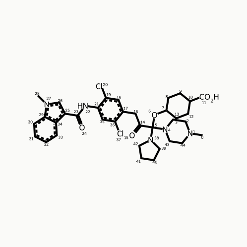 CN1CCN(C(OC2CCC(C(=O)O)CC2)(C(=O)Cc2cc(Cl)c(NC(=O)c3cn(C)c4ccccc34)cc2Cl)N2CCCC2)CC1